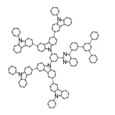 c1ccc(-c2cc(-c3ccccc3)cc(-c3cccc(-c4nc(-c5cc(-n6c7ccc(-c8ccc9c(c8)c8ccccc8n9-c8ccccc8)cc7c7cc(-c8ccc9c(c8)c8ccccc8n9-c8ccccc8)ccc76)cc(-n6c7ccc(-c8ccc9c(c8)c8ccccc8n9-c8ccccc8)cc7c7cc(-c8ccc9c(c8)c8ccccc8n9-c8ccccc8)ccc76)c5)nc5ccccc45)c3)c2)cc1